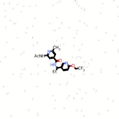 CCC(NC(=O)c1cc(C)nc(NC(C)=O)c1)c1ccc(OCC(F)(F)F)nc1